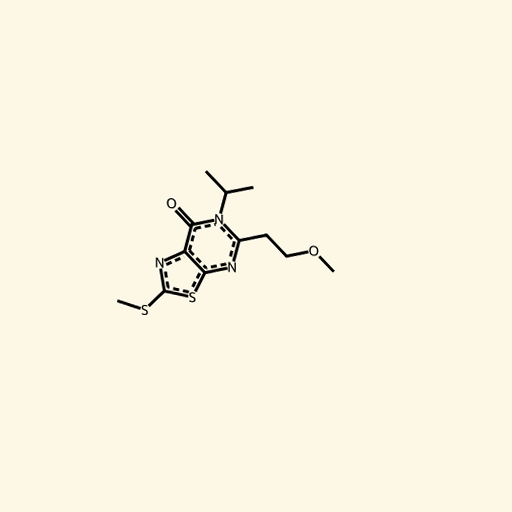 COCCc1nc2sc(SC)nc2c(=O)n1C(C)C